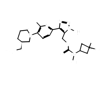 CCc1nc(-c2nnn(C)c2COC(=O)N(C)C2CC(F)(F)C2)ccc1N1CCC[C@H](CC(=O)O)C1